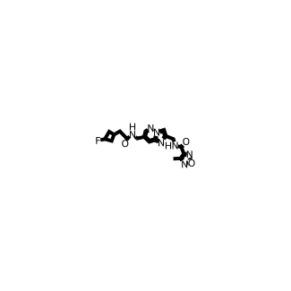 Cc1nonc1C(=O)NCc1cn2ncc(CNC(=O)CC3CC(F)C3)cc2n1